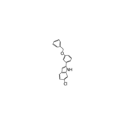 Clc1ccc2cc(-c3cccc(OCc4ccccc4)c3)[nH]c2c1